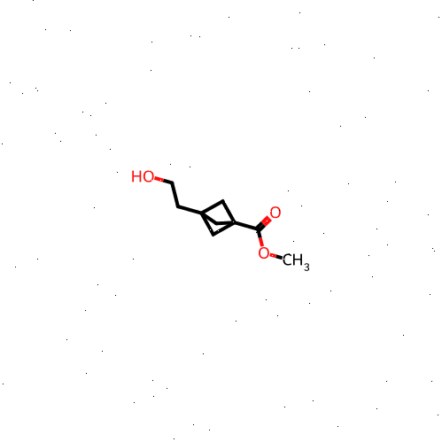 COC(=O)C12CC(CCO)(C1)C2